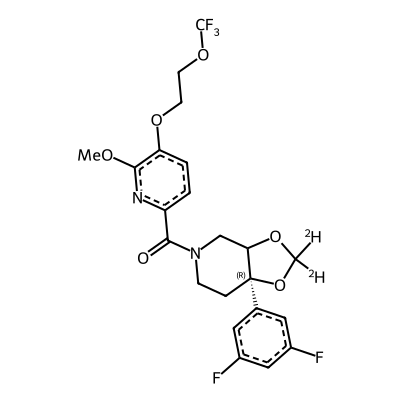 [2H]C1([2H])OC2CN(C(=O)c3ccc(OCCOC(F)(F)F)c(OC)n3)CC[C@]2(c2cc(F)cc(F)c2)O1